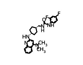 CN(C)c1cc(N[C@H]2CC[C@@H](CNC(=O)Nc3ccc(F)cc3F)CC2)nc2ccccc12